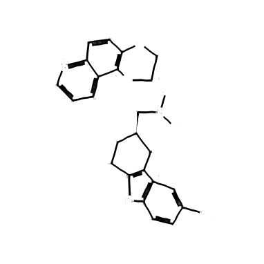 CCCN(C[C@@H]1CCc2[nH]c3ccc(F)cc3c2C1)C[C@H]1COc2ccc3ncccc3c2O1